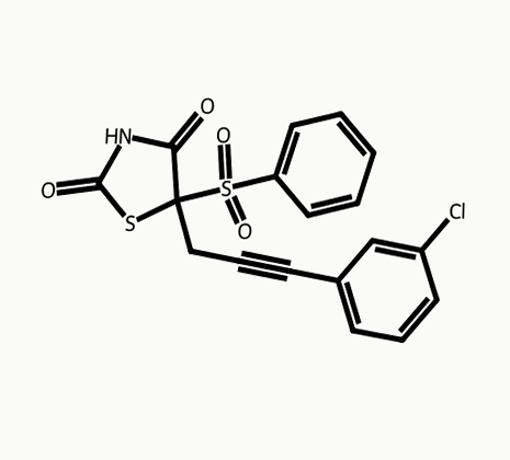 O=C1NC(=O)C(CC#Cc2cccc(Cl)c2)(S(=O)(=O)c2ccccc2)S1